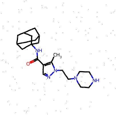 Cc1c(C(=O)NC23CC4CC(CC(C4)C2)C3)cnn1CCN1CCNCC1